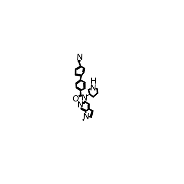 Cn1ccc2cc(N(C(=O)c3ccc(-c4ccc(C#N)cc4)cc3)[C@@H]3CCCNC3)ncc21